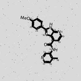 COc1ccc(-c2nc3c(C(=O)Nc4cnccc4C)ccnc3[nH]2)cc1